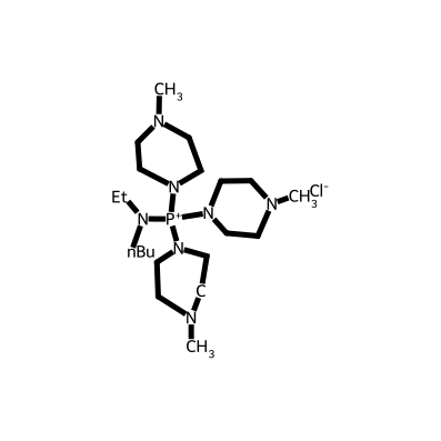 CCCCN(CC)[P+](N1CCN(C)CC1)(N1CCN(C)CC1)N1CCN(C)CC1.[Cl-]